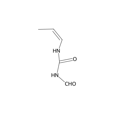 C/C=C\NC(=O)NC=O